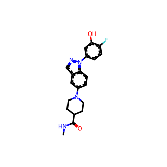 CNC(=O)C1CCN(c2ccc3c(cnn3-c3ccc(F)c(O)c3)c2)CC1